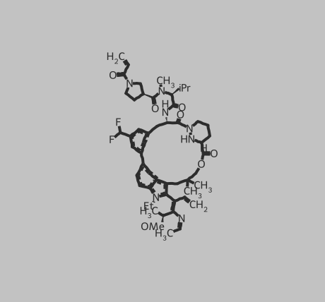 C=CC(=O)N1CC[C@H](C(=O)N(C)[C@H](C(=O)N[C@H]2Cc3cc(cc(C(F)F)c3)-c3ccc4c(c3)c(c(/C(C=C)=C(/N=C\C)[C@H](C)OC)n4CC)CC(C)(C)COC(=O)[C@@H]3CCCN(N3)C2=O)C(C)C)C1